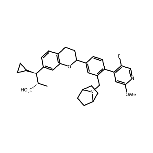 COc1cc(-c2ccc(C3CCc4ccc([C@H](C5CC5)[C@H](C)C(=O)O)cc4O3)cc2CN2C3CCC2CC3)c(F)cn1